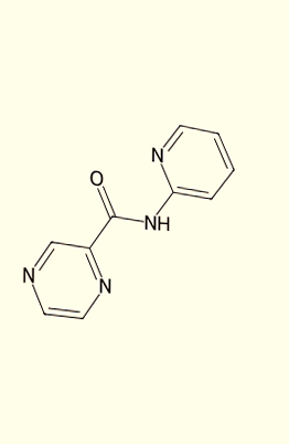 O=C(Nc1ccccn1)c1cnccn1